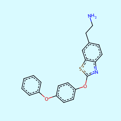 NCCc1ccc2nc(Oc3ccc(Oc4ccccc4)cc3)sc2c1